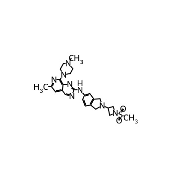 Cc1cc2cnc(Nc3ccc4c(c3)CN(C3CN(S(C)(=O)=O)C3)C4)nc2c(N2CCN(C)CC2)n1